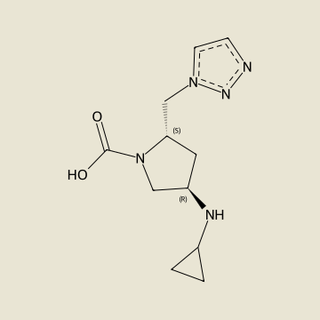 O=C(O)N1C[C@H](NC2CC2)C[C@H]1Cn1ccnn1